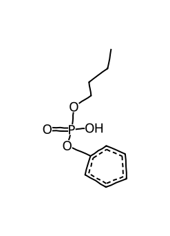 CCCCOP(=O)(O)Oc1ccccc1